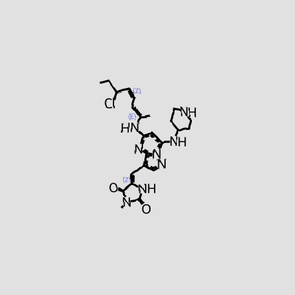 CCC(Cl)/C=C\C=C(/C)Nc1cc(NC2CCNCC2)n2ncc(/C=C3\NC(=O)N(C)C3=O)c2n1